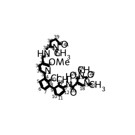 COc1nc(-c2cccc(-c3cccc(NC(=O)c4cn(C)c(=O)n(C)c4=O)c3C)c2Cl)ccc1CNC[C@@H]1CCC(=O)N1C